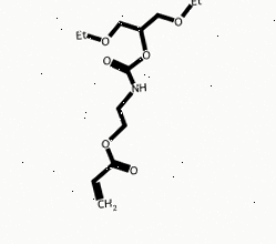 C=CC(=O)OCCNC(=O)OC(COCC)COCC